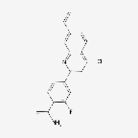 C=Cc1ccc2c(Cl)cc(-c3ccc(C(=C)N)c(F)c3)nc2c1